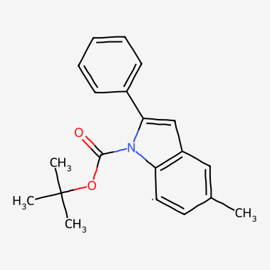 Cc1c[c]c2c(c1)cc(-c1ccccc1)n2C(=O)OC(C)(C)C